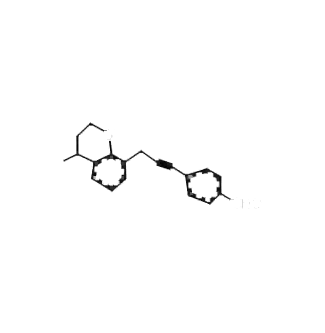 CC1CCSc2c(CC#Cc3ccc(C=O)cc3)cccc21